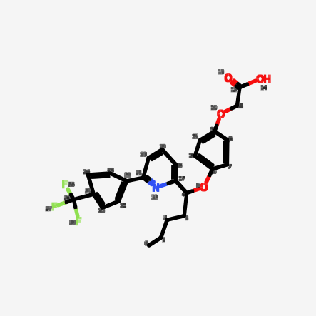 CCCCC(Oc1ccc(OCC(=O)O)cc1)c1cccc(-c2ccc(C(F)(F)F)cc2)n1